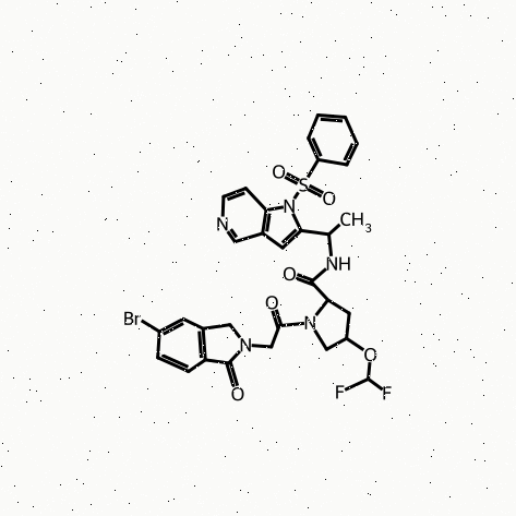 CC(NC(=O)C1CC(OC(F)F)CN1C(=O)CN1Cc2cc(Br)ccc2C1=O)c1cc2cnccc2n1S(=O)(=O)c1ccccc1